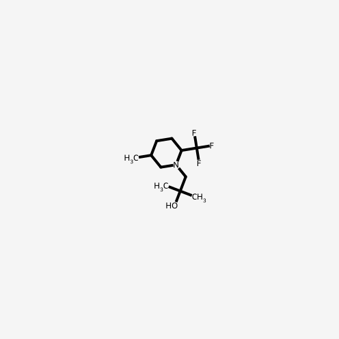 CC1CCC(C(F)(F)F)N(CC(C)(C)O)C1